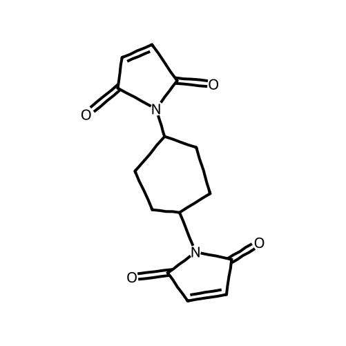 O=C1C=CC(=O)N1C1CCC(N2C(=O)C=CC2=O)CC1